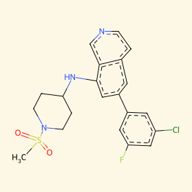 CS(=O)(=O)N1CCC(Nc2cc(-c3cc(F)cc(Cl)c3)cc3ccncc23)CC1